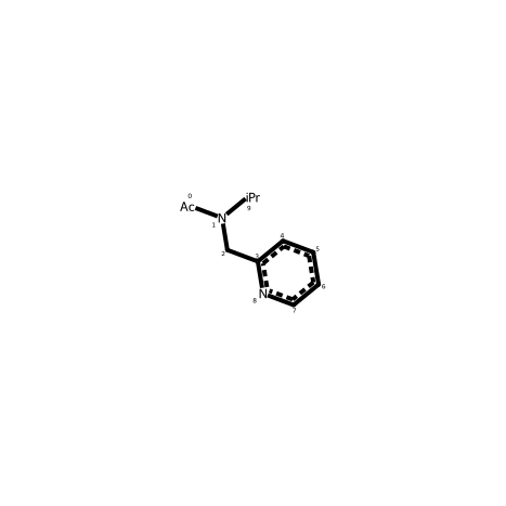 CC(=O)N(Cc1ccccn1)C(C)C